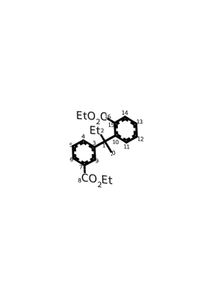 [CH2]C(CC)(c1cccc(C(=O)OCC)c1)c1ccccc1C(=O)OCC